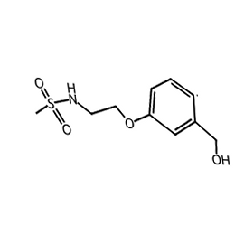 CS(=O)(=O)NCCOc1cc[c]c(CO)c1